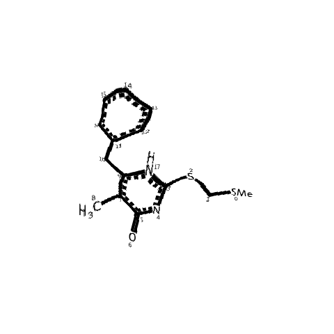 CSCSc1nc(=O)c(C)c(Cc2ccccc2)[nH]1